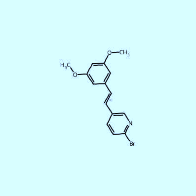 COc1cc(/C=C/c2ccc(Br)nc2)cc(OC)c1